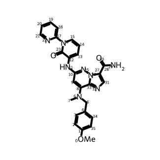 COc1ccc(CN(C)c2cc(Nc3cccn(-c4ccccn4)c3=O)nn3c(C(N)=O)cnc23)cc1